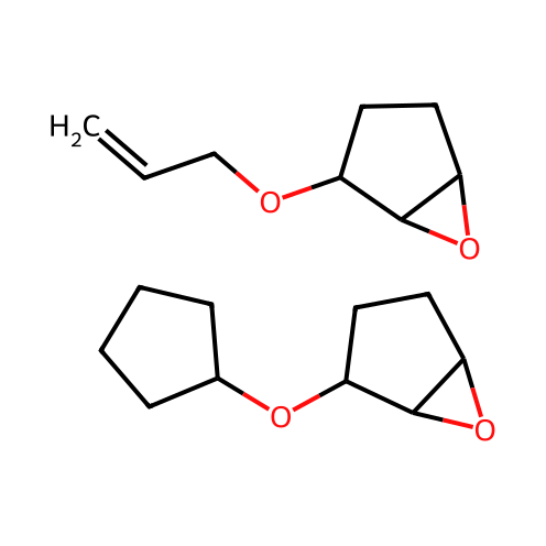 C1CCC(OC2CCC3OC23)C1.C=CCOC1CCC2OC12